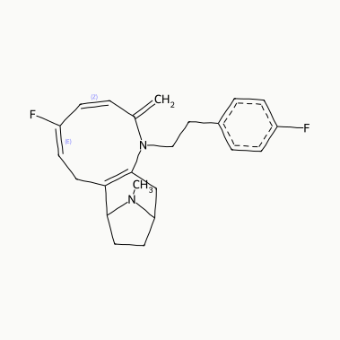 C=C1/C=C\C(F)=C/CC2=C(CC3CCC2N3C)N1CCc1ccc(F)cc1